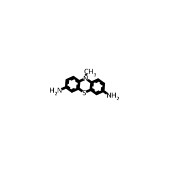 CN1c2ccc(N)cc2Sc2cc(N)ccc21